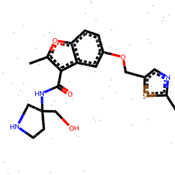 Cc1ncc(COc2ccc3oc(C)c(C(=O)NC4(CO)CCNC4)c3c2)s1